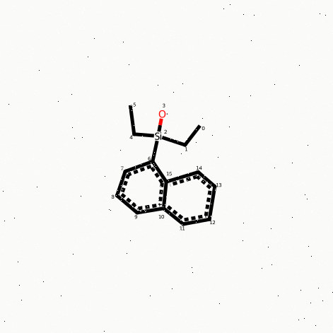 CC[Si]([O])(CC)c1cccc2ccccc12